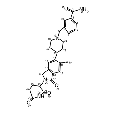 NC(=O)c1cccc(CN2CCC(c3cc4c(cc3F)C(=O)N(C3CCC(=O)NC3=O)C4)CC2)c1